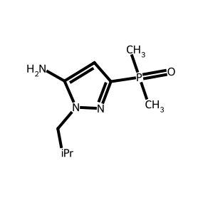 CC(C)Cn1nc(P(C)(C)=O)cc1N